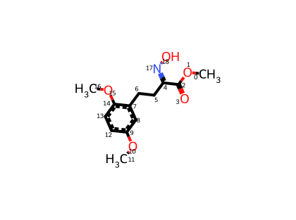 COC(=O)C(CCc1cc(OC)ccc1OC)=NO